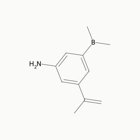 C=C(C)c1cc(N)cc(B(C)C)c1